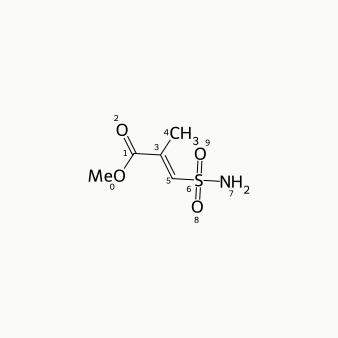 COC(=O)C(C)=CS(N)(=O)=O